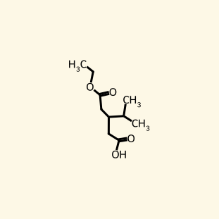 CCOC(=O)CC(CC(=O)O)C(C)C